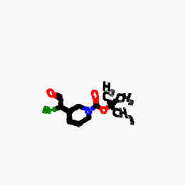 CC(C)(C)OC(=O)N1CCCC(C(Br)C=O)C1